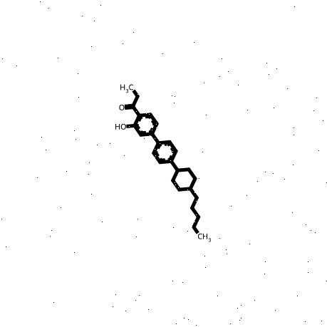 CCCCCC1CCC(c2ccc(-c3ccc(C(=O)CC)c(O)c3)cc2)CC1